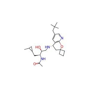 CC(=O)N[C@@H](CC1CC1C)[C@@H](O)CN[C@H]1CC2(CCC2)Oc2ncc(CC(C)(C)C)cc21